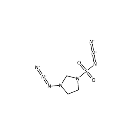 [N-]=[N+]=NN1CCN(S(=O)(=O)N=[N+]=[N-])C1